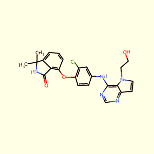 CC1(C)NC(=O)c2c(Oc3ccc(Nc4ncnc5ccn(CCO)c45)cc3Cl)cccc21